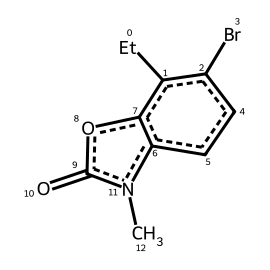 CCc1c(Br)ccc2c1oc(=O)n2C